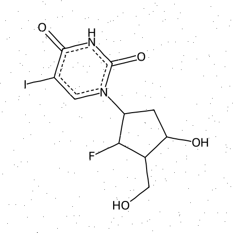 O=c1[nH]c(=O)n(C2CC(O)C(CO)C2F)cc1I